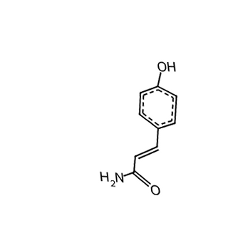 NC(=O)C=Cc1ccc(O)cc1